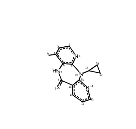 Cc1ccnc2c1NC(=S)c1cccnc1N2C1CC1